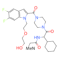 CNCC(=O)NC(C(=O)N1CCN(C(=O)c2cc3cc(F)c(F)cc3n2CCOCCO)CC1)C1CCCCC1